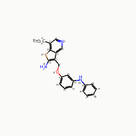 CCOC(=O)c1cncc2c(COc3cccc(Nc4ccccc4)c3)c(N)sc12